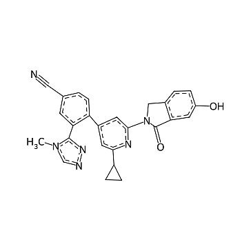 Cn1cnnc1-c1cc(C#N)ccc1-c1cc(C2CC2)nc(N2Cc3ccc(O)cc3C2=O)c1